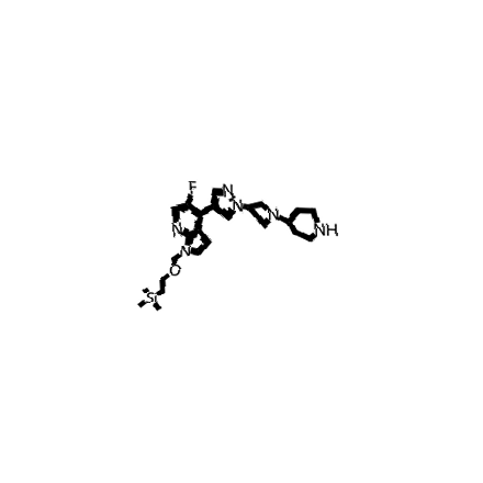 C[Si](C)(C)CCOCn1ccc2c(-c3cnn([C]4CN(C5CCNCC5)C4)c3)c(F)cnc21